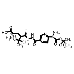 CC(C)(C)OC(=O)N(N)c1ccc(C(=O)NOC(=O)C(C[C@H](N)C(=O)O)C(C)(C)C)cn1